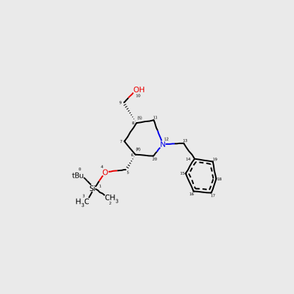 CC(C)(C)[Si](C)(C)OC[C@@H]1C[C@H](CO)CN(Cc2ccccc2)C1